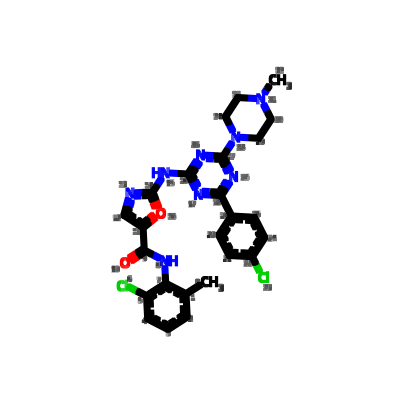 Cc1cccc(Cl)c1NC(=O)c1cnc(Nc2nc(-c3ccc(Cl)cc3)nc(N3CCN(C)CC3)n2)o1